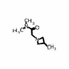 CC1CN(CC(=O)N(C)C)C1